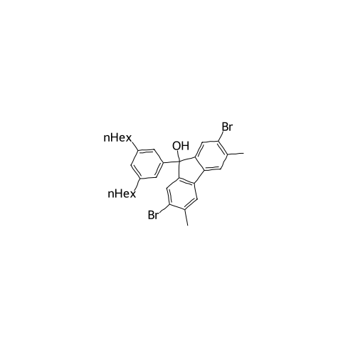 CCCCCCc1cc(CCCCCC)cc(C2(O)c3cc(Br)c(C)cc3-c3cc(C)c(Br)cc32)c1